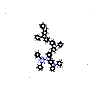 c1ccc(-c2nc(-c3ccccc3)nc(-n3c4ccc(-c5ccc6c(c5)c5cc(-c7ccc8c(c7)-c7cc9c(cc7C8c7ccccc7)-c7ccccc7C9)ccc5n6-c5ccccc5)cc4c4cc5c(cc43)c3ccccc3n5-c3ccccc3)n2)cc1